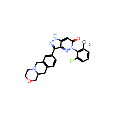 Cc1cccc(F)c1-n1nc2c(-c3ccc4c(c3)CN3CCOCC3C4)n[nH]c2cc1=O